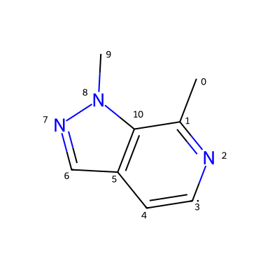 Cc1n[c]cc2cnn(C)c12